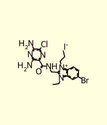 CCC[n+]1c(CNC(=O)c2nc(Cl)c(N)nc2N)n(CC)c2cc(Br)ccc21.[I-]